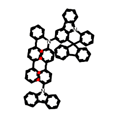 c1ccc(-c2ccc(-c3ccccc3N(c3ccc(-c4ccc(-n5c6ccccc6c6ccccc65)cc4)cc3)c3cc4c5c(c3)c3ccccc3n5-c3ccccc3C43c4ccccc4-c4ccccc43)cc2)cc1